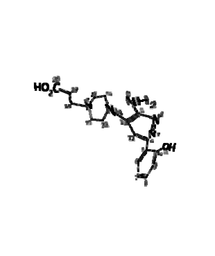 Nc1nnc(-c2ccccc2O)cc1N1CCN(CCC(=O)O)CC1